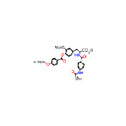 CCCCCCCOc1ccc(C(=O)Oc2ccc(CC(NC(=O)c3ccc(NC(=O)C(C)(C)C)cc3)C(=O)O)cc2OC)cc1